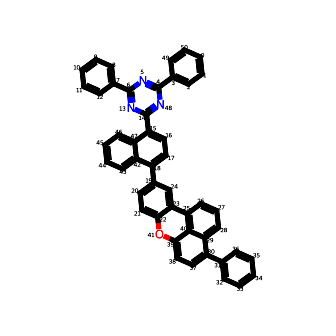 c1ccc(-c2nc(-c3ccccc3)nc(-c3ccc(-c4ccc5c(c4)-c4cccc6c(-c7ccccc7)ccc(c46)O5)c4ccccc34)n2)cc1